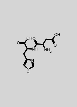 NC(CC(=O)O)C(=O)NC(Cc1c[nH]cn1)C(=O)O